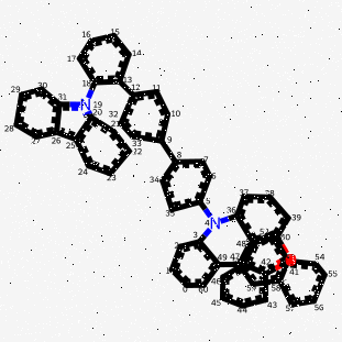 c1ccc(N(c2ccc(-c3ccc(-c4ccccc4-n4c5ccccc5c5ccccc54)cc3)cc2)c2cccc3oc4ccccc4c23)c(-c2ccc3ccccc3c2)c1